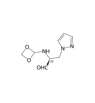 O=C[C@H](Cn1cccn1)NC1OCO1